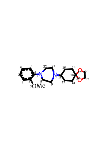 COc1ccccc1N1CCN(C2CCC3(CC2)OCCO3)CC1